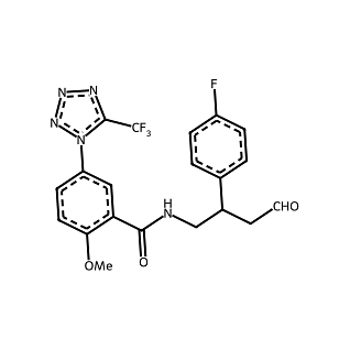 COc1ccc(-n2nnnc2C(F)(F)F)cc1C(=O)NCC(CC=O)c1ccc(F)cc1